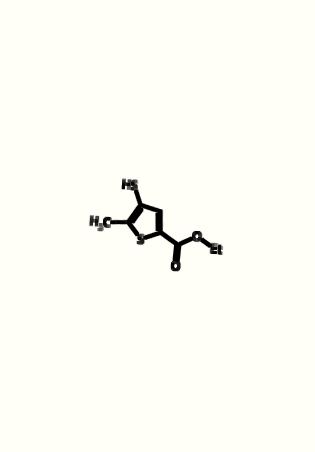 CCOC(=O)c1cc(S)c(C)s1